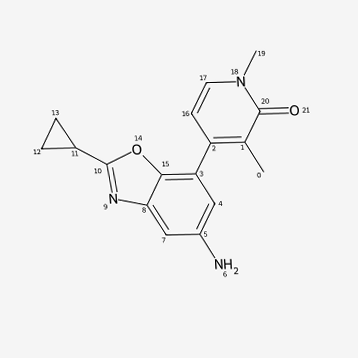 Cc1c(-c2cc(N)cc3nc(C4CC4)oc23)ccn(C)c1=O